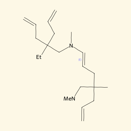 C=CCC(C)(C/C=C/N(C)CC(CC)(CC=C)CC=C)CNC